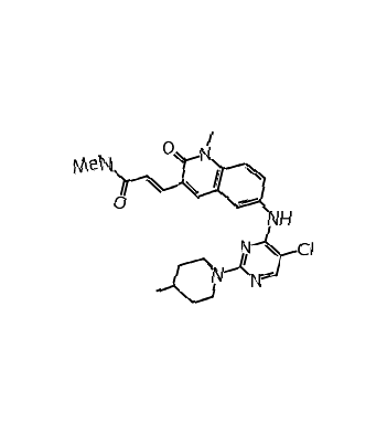 CNC(=O)/C=C/c1cc2cc(Nc3nc(N4CCC(C)CC4)ncc3Cl)ccc2n(C)c1=O